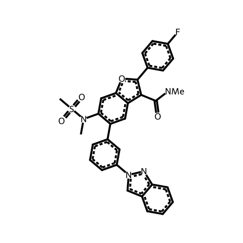 CNC(=O)c1c(-c2ccc(F)cc2)oc2cc(N(C)S(C)(=O)=O)c(-c3cccc(-n4cc5ccccc5n4)c3)cc12